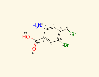 Nc1cc(CBr)c(Br)cc1C(=O)O